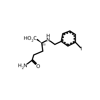 NC(=O)CC[C@H](NCc1cccc(I)c1)C(=O)O